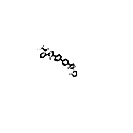 C[C@H](O)C(=O)N1CCCC1c1ncc(-c2ccc(-c3ccc(-c4cnc([C@@H]5CCCN5)[nH]4)cc3)cc2)[nH]1